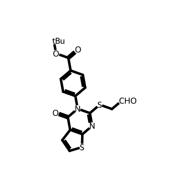 CC(C)(C)OC(=O)c1ccc(-n2c(SCC=O)nc3sccc3c2=O)cc1